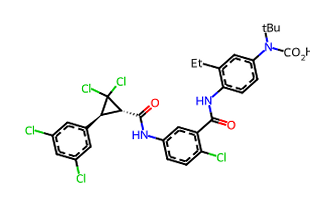 CCc1cc(N(C(=O)O)C(C)(C)C)ccc1NC(=O)c1cc(NC(=O)[C@@H]2[C@@H](c3cc(Cl)cc(Cl)c3)C2(Cl)Cl)ccc1Cl